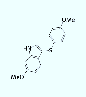 COc1ccc(Sc2c[nH]c3cc(OC)ccc23)cc1